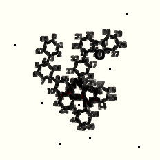 c1ccc(-c2cccc(-c3cccc(N(c4ccc(-c5cccc6c5oc5ccccc56)cc4)c4ccccc4-c4ccccc4-c4ccccc4-n4c5ccccc5c5ccccc54)c3)c2)cc1